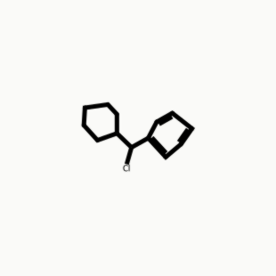 Cl[C](c1ccccc1)C1CCCCC1